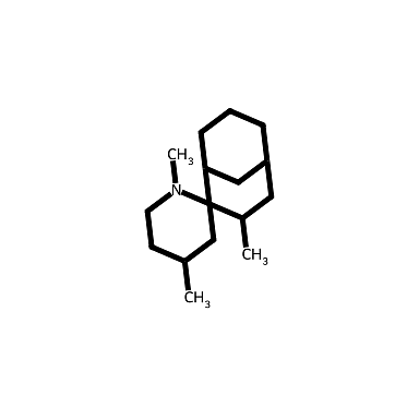 CC1CCN(C)C2(C1)C(C)CC1CCCC2C1